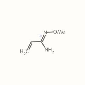 C=C/C(N)=N/OC